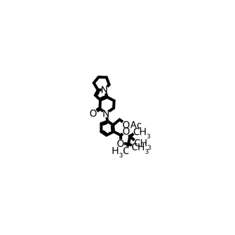 CC(=O)OCc1c(C2OC(C)(C)C(C)(C)O2)cccc1N1CCc2c(cc3n2CCCC3)C1=O